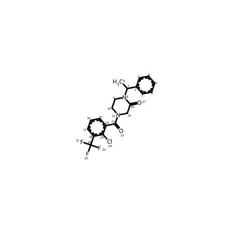 CC(c1ccccc1)N1CCN(C(=O)c2cccc(C(F)(F)F)c2Cl)CC1=O